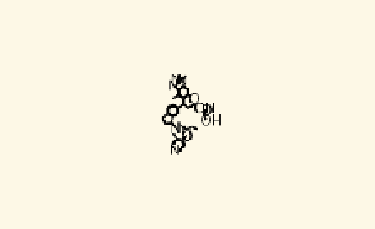 CC[C@@H]1CN(C2CCc3ccc(C(CC(=O)O)c4ccc5c(nnn5C)c4C)cc32)Cc2cnccc2O1.O=CO